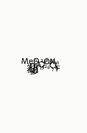 COc1cc(Oc2ccc(F)cn2)ccc1B1OC(C)(C)C(C)(C)O1